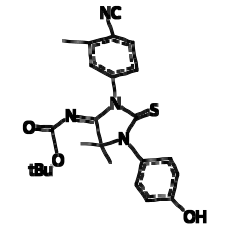 [C-]#[N+]c1ccc(N2C(=S)N(c3ccc(O)cc3)C(C)(C)C2=NC(=O)OC(C)(C)C)cc1C